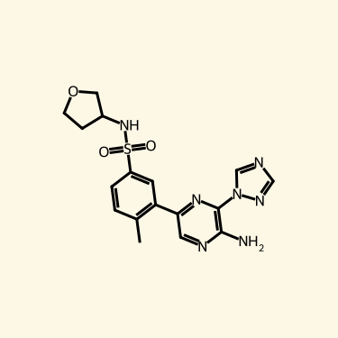 Cc1ccc(S(=O)(=O)NC2CCOC2)cc1-c1cnc(N)c(-n2cncn2)n1